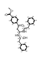 COC(=O)c1ccc(CCC(N[C@H](O)Cc2ccccc2)N[C@H](O)Cc2ccccc2)cc1